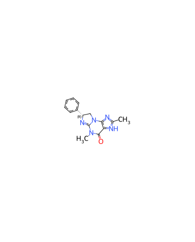 Cc1nc2c([nH]1)C(=O)N(C)C1=N[C@H](c3ccccc3)CN12